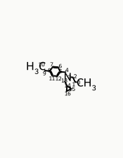 CCCN(Cc1ccc(CC)cc1)CC1CC1